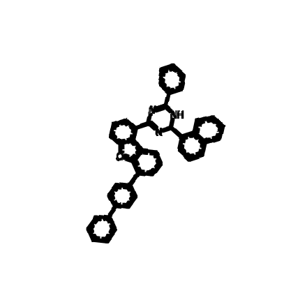 c1ccc(C2=NC(c3cccc4oc5c(-c6ccc(-c7ccccc7)cc6)cccc5c34)=NC(c3cccc4ccccc34)N2)cc1